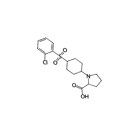 O=C(O)C1CCCN1C1CCC(S(=O)(=O)c2ccccc2Cl)CC1